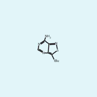 CC(C)(C)c1snc2c(N)ncnc12